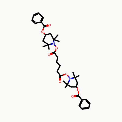 CC1(C)CC(OC(=O)c2ccccc2)CC(C)(C)N1OC(=O)CCCCC(=O)ON1C(C)(C)CC(OC(=O)c2ccccc2)CC1(C)C